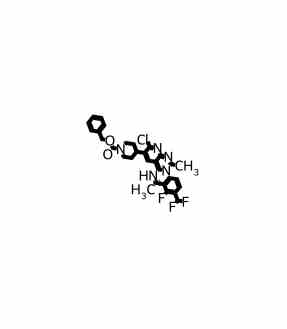 Cc1nc(N[C@H](C)c2cccc(C(F)F)c2F)c2cc(C3CCN(C(=O)OCc4ccccc4)CC3)c(Cl)nc2n1